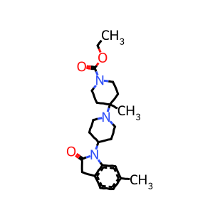 CCOC(=O)N1CCC(C)(N2CCC(N3C(=O)Cc4ccc(C)cc43)CC2)CC1